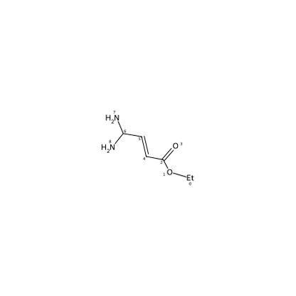 CCOC(=O)C=CC(N)N